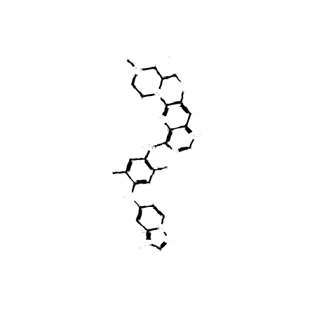 Cc1cc(Nc2ncnc3cc4c(nc23)N2CCN(C)C[C@H]2CO4)c(F)cc1Oc1ccn2ncnc2c1